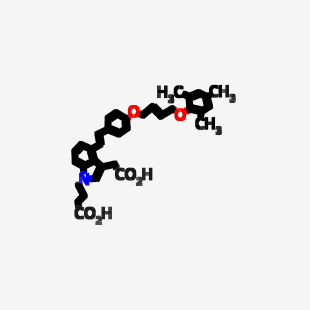 Cc1cc(C)c(OCC=CCOc2ccc(C=Cc3cccc4c3c(CC(=O)O)cn4CCCC(=O)O)cc2)c(C)c1